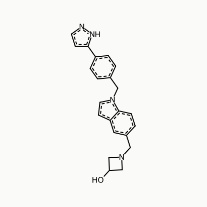 OC1CN(Cc2ccc3c(ccn3Cc3ccc(-c4ccn[nH]4)cc3)c2)C1